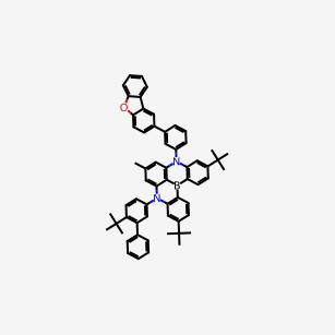 Cc1cc2c3c(c1)N(c1ccc(C(C)(C)C)c(-c4ccccc4)c1)c1cc(C(C)(C)C)ccc1B3c1ccc(C(C)(C)C)cc1N2c1cccc(-c2ccc3oc4ccccc4c3c2)c1